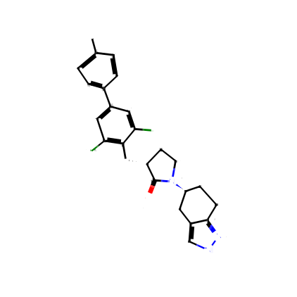 Cc1ccc(-c2cc(Cl)c(C[C@@H]3CCN([C@H]4CCc5n[nH]cc5C4)C3=O)c(Cl)c2)cc1